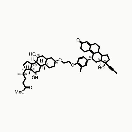 CC#C[C@@]1(O)CCC2C3CCC4=CC(=O)CCC4=C3[C@H](c3ccc(OCCO[C@H]4CC[C@@]5(C)C(C4)C[C@@H](O)[C@H]4[C@@H]6CC[C@H]([C@H](C)CCC(=O)OC)[C@@]6(C)[C@@H](O)C[C@@H]45)c(C)c3)C[C@@]21C